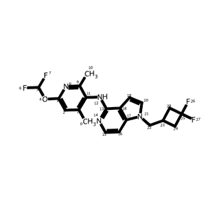 Cc1cc(OC(F)F)nc(C)c1Nc1nccc2c1ccn2CC1CC(F)(F)C1